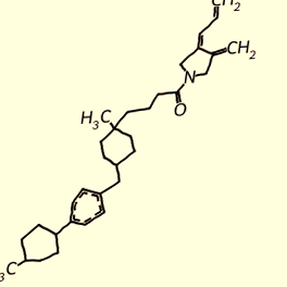 C=C/C=C1/CN(C(=O)CCCC2(C)CCC(Cc3ccc(C4CCC(C)CC4)cc3)CC2)CC1=C